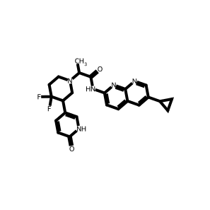 CC(C(=O)Nc1ccc2cc(C3CC3)cnc2n1)N1CCC(F)(F)C(c2ccc(=O)[nH]c2)C1